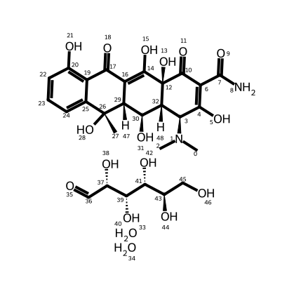 CN(C)[C@@H]1C(O)=C(C(N)=O)C(=O)[C@@]2(O)C(O)=C3C(=O)c4c(O)cccc4[C@@](C)(O)[C@H]3[C@H](O)[C@@H]12.O.O.O=C[C@H](O)[C@@H](O)[C@H](O)[C@H](O)CO